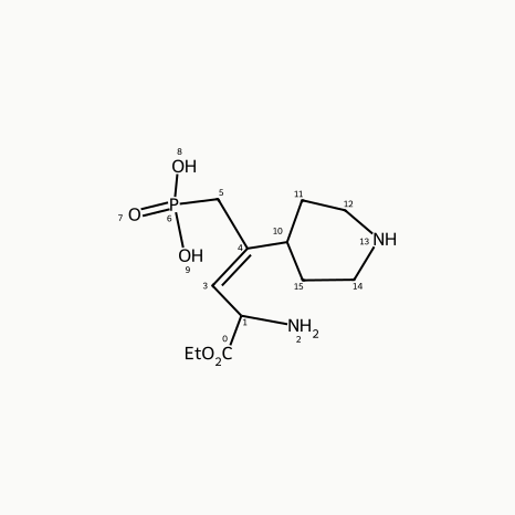 CCOC(=O)C(N)/C=C(/CP(=O)(O)O)C1CCNCC1